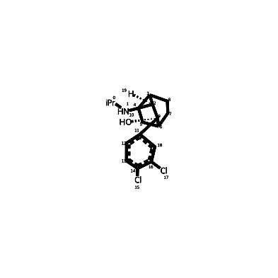 CC(C)N[C@H]1C2CCC(CC2)[C@@]1(O)c1ccc(Cl)c(Cl)c1